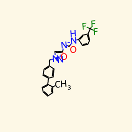 Cc1ccccc1-c1ccc(C[n+]2cc([N-]C(=O)Nc3cccc(C(F)(F)F)c3)on2)cc1